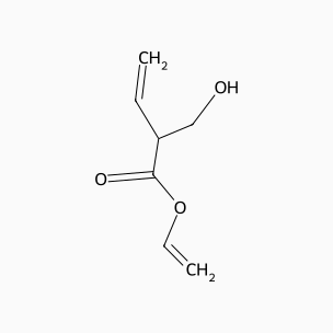 C=COC(=O)C(C=C)CO